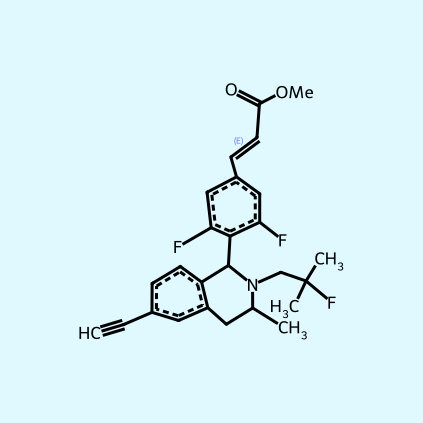 C#Cc1ccc2c(c1)CC(C)N(CC(C)(C)F)C2c1c(F)cc(/C=C/C(=O)OC)cc1F